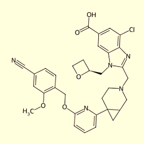 COc1cc(C#N)ccc1COc1cccc(C23CCN(Cc4nc5c(Cl)cc(C(=O)O)cc5n4C[C@@H]4CCO4)CC2C3)n1